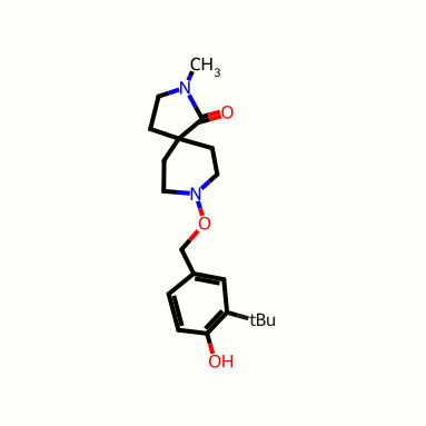 CN1CCC2(CCN(OCc3ccc(O)c(C(C)(C)C)c3)CC2)C1=O